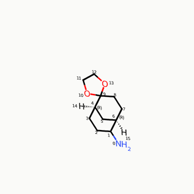 NC1CC[C@@H]2C[C@H]1CCC21OCCO1